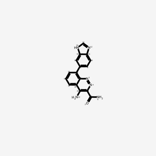 NC(=O)c1nnc2c(-c3ccc4nc[nH]c4c3)cccc2c1N